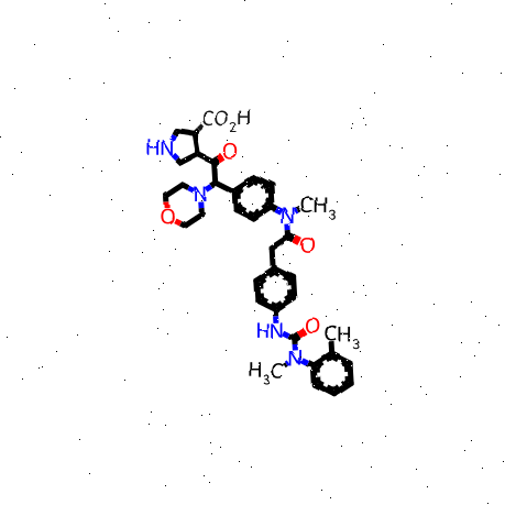 Cc1ccccc1N(C)C(=O)Nc1ccc(CC(=O)N(C)c2ccc(C(C(=O)C3CNCC3C(=O)O)N3CCOCC3)cc2)cc1